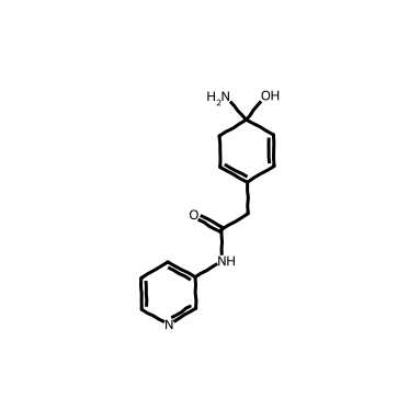 NC1(O)C=CC(CC(=O)Nc2cccnc2)=CC1